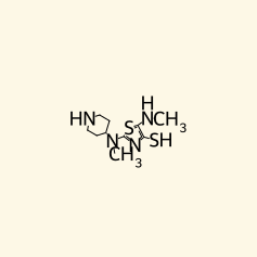 CNc1sc(N(C)C2CCNCC2)nc1S